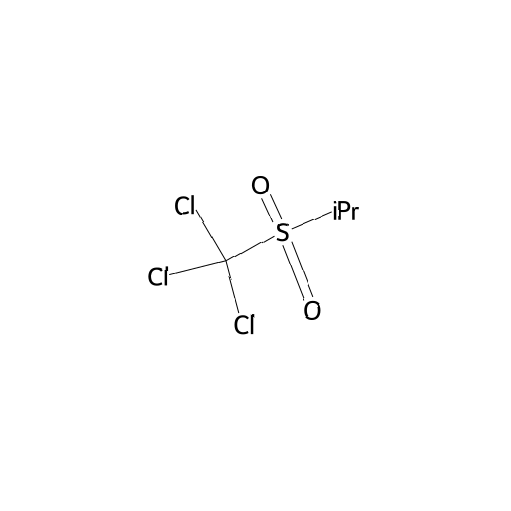 CC(C)S(=O)(=O)C(Cl)(Cl)Cl